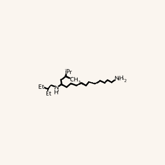 CCC(CC)CNC(CCCCCCCCCCCN)CC(C)C(C)C